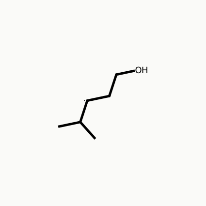 CC(C)[CH]CCO